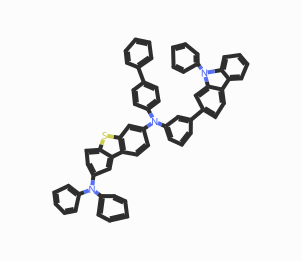 c1ccc(-c2ccc(N(c3cccc(-c4ccc5c6ccccc6n(-c6ccccc6)c5c4)c3)c3ccc4c(c3)sc3ccc(N(c5ccccc5)c5ccccc5)cc34)cc2)cc1